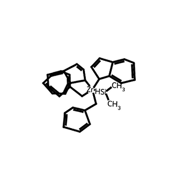 C[SiH](C)[Zr]([CH2]c1ccccc1)([CH2]c1ccccc1)([CH]1C=Cc2ccccc21)[CH]1C=Cc2ccccc21